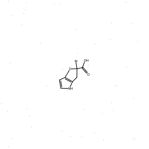 O=C(O)C1(Br)Cc2[nH]ccc2O1